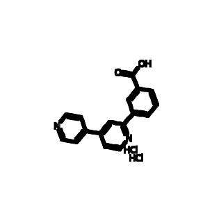 Cl.Cl.O=C(O)c1cccc(-c2cc(-c3ccncc3)ccn2)c1